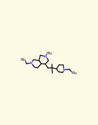 CC(C)(C)CN1CCC(C(C)(C)CC2CN(C(C)(C)C)CC3CN(CC(C)(C)C)CCC32)CC1